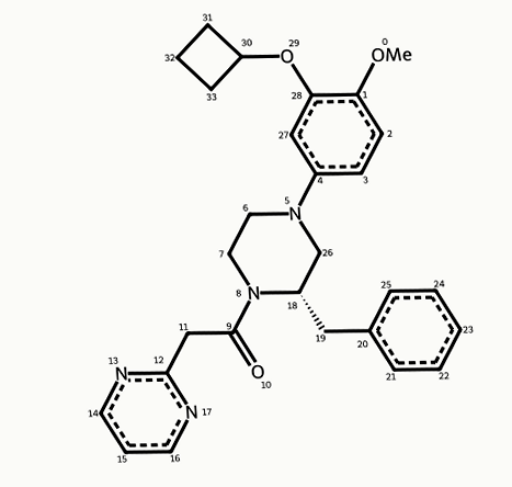 COc1ccc(N2CCN(C(=O)Cc3ncccn3)[C@@H](Cc3ccccc3)C2)cc1OC1CCC1